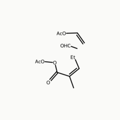 C=COC(C)=O.CC=O.CCC=C(C)C(=O)OOC(C)=O